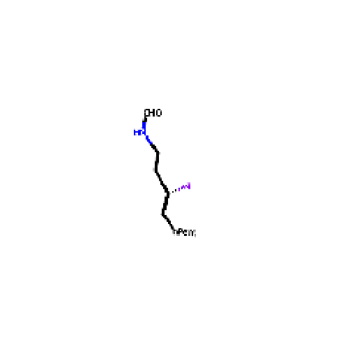 CCCCCC[C@@H](I)CCNC=O